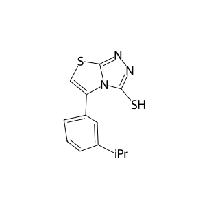 CC(C)c1cccc(-c2csc3nnc(S)n23)c1